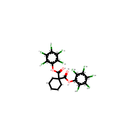 O=C(Oc1c(F)c(F)c(F)c(F)c1F)C1(C(=O)Oc2c(F)c(F)c(F)c(F)c2F)CCCCC1